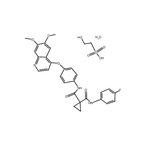 COc1cc2nccc(Oc3ccc(NC(=O)C4(C(=O)Nc5ccc(F)cc5)CC4)cc3)c2cc1OC.O.O=S(=O)(O)CCO